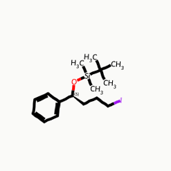 CC(C)(C)[Si](C)(C)O[C@@H](CCCI)c1ccccc1